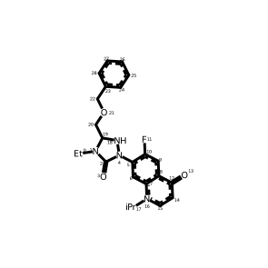 CCN1C(=O)N(c2cc3c(cc2F)c(=O)ccn3C(C)C)NC1COCc1ccccc1